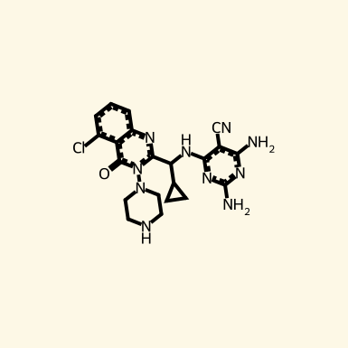 N#Cc1c(N)nc(N)nc1NC(c1nc2cccc(Cl)c2c(=O)n1N1CCNCC1)C1CC1